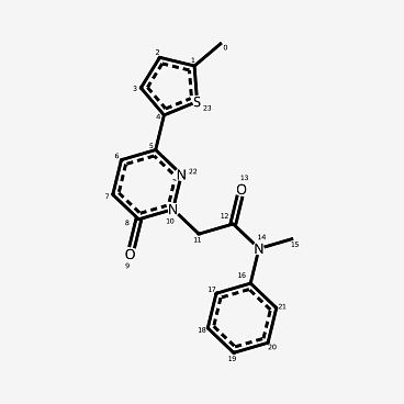 Cc1ccc(-c2ccc(=O)n(CC(=O)N(C)c3ccccc3)n2)s1